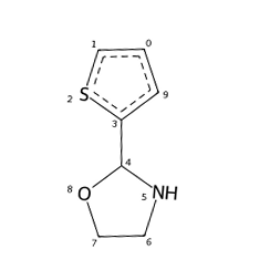 c1csc(C2NCCO2)c1